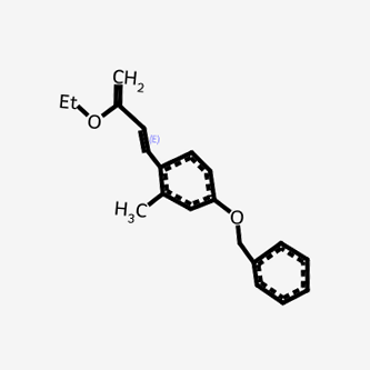 C=C(/C=C/c1ccc(OCc2ccccc2)cc1C)OCC